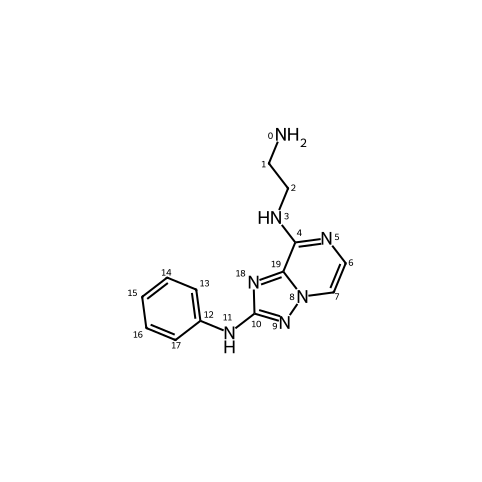 NCCNc1nccn2nc(Nc3ccccc3)nc12